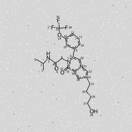 CC(C)NC(=O)Cn1c(-c2cccc(OC(F)(F)F)c2)cn2cc(CCCCO)cc2c1=O